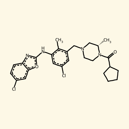 Cc1c(CN2CCN(C(=O)C3CCCC3)[C@@H](C)C2)cc(Cl)cc1Nc1nc2ccc(Cl)cc2o1